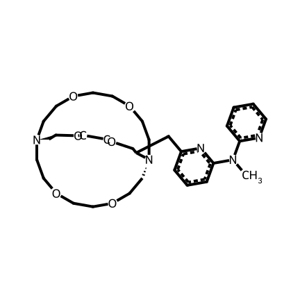 CN(c1ccccn1)c1cccc(CC2COCCOCC[N@]3CCOCCOCC[N@@]2CCOCCOCC3)n1